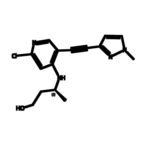 C[C@@H](CCO)Nc1cc(Cl)ncc1C#Cc1ccn(C)n1